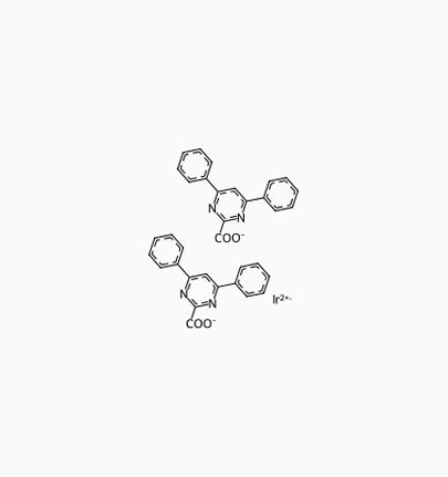 O=C([O-])c1nc(-c2ccccc2)cc(-c2ccccc2)n1.O=C([O-])c1nc(-c2ccccc2)cc(-c2ccccc2)n1.[Ir+2]